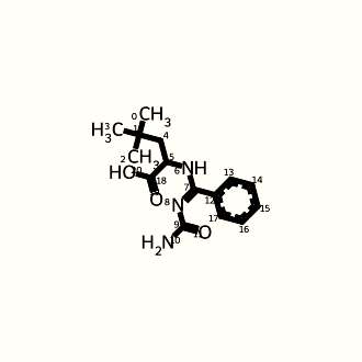 CC(C)(C)CC(N/C(=N/C(N)=O)c1ccccc1)C(=O)O